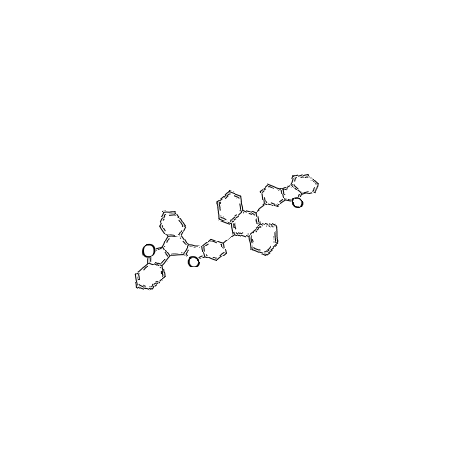 c1ccc2c(c1)oc1cc(-c3c4ccccc4c(-c4ccc5oc6c(c5c4)c4ccccc4c4oc5ccccc5c46)c4ccccc34)ccc12